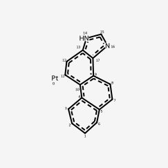 [Pt].c1ccc2c(c1)ccc1c2ccc2[nH]cnc21